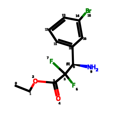 CCOC(=O)C(F)(F)[C@H](N)c1cccc(Br)c1